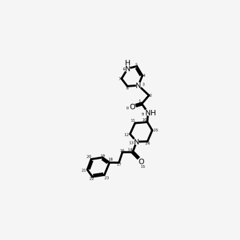 O=C(CN1C=CNCC1)NC1CCN(C(=O)CCc2ccccc2)CC1